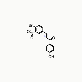 O=C(/C=C/c1ccc(Br)c([N+](=O)[O-])c1)c1ccc(O)cc1